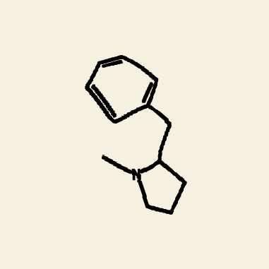 CN1CCCC1Cc1ccccc1